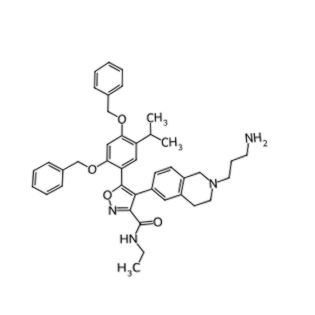 CCNC(=O)c1noc(-c2cc(C(C)C)c(OCc3ccccc3)cc2OCc2ccccc2)c1-c1ccc2c(c1)CCN(CCCN)C2